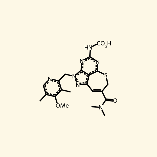 COc1c(C)cnc(Cn2nc3c4c(nc(NC(=O)O)nc42)SCC(C(=O)N(C)C)=C3)c1C